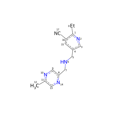 CCc1ncc(CNCc2cnc(C)cn2)cc1C#N